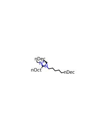 CCCCCCCCCCCCCCCn1cc[n+](CCCCCCCCCCC)c1CCCCCCCC